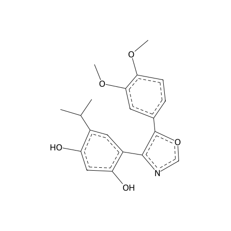 COc1ccc(-c2ocnc2-c2cc(C(C)C)c(O)cc2O)cc1OC